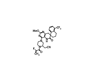 C=C(F)C(=O)N1CCN(c2nc(OC)nc3c2NC(=O)C2(CCCc4c(C(F)(F)F)cccc42)C3)CC1CC#N